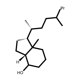 CC(C)C(C)CC[C@@H](C)[C@H]1CC[C@H]2C(O)CCCC12C